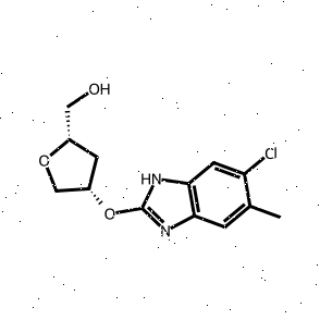 Cc1cc2nc(O[C@@H]3CO[C@H](CO)C3)[nH]c2cc1Cl